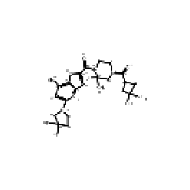 CC1(O)CC(C(=O)N2CCN(C(=O)c3cc4nc(N5CCC(F)(F)C5)cc(C(C)(C)C)c4o3)C(C)(C)C2)C1